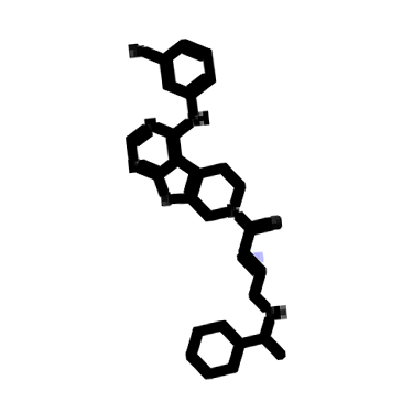 CC(NC/C=C/C(=O)N1CCc2c(sc3ncnc(Nc4cccc(Br)c4)c23)C1)C1CCCCC1